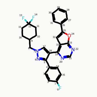 Fc1ccc(-c2nn(CC3CCC(F)(F)CC3)cc2-c2ncnc3oc(-c4ccccc4)cc23)cc1